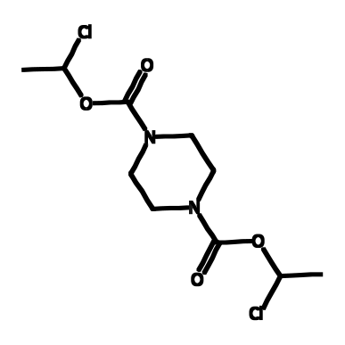 CC(Cl)OC(=O)N1CCN(C(=O)OC(C)Cl)CC1